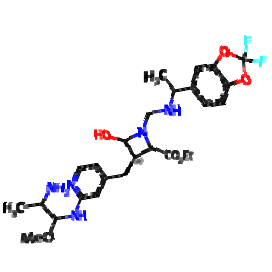 CCOC(=O)C1[C@@H](Cc2ccnc(NC(OC)C(C)N)c2)C(O)N1CNC(C)c1ccc2c(c1)OC(F)(F)O2